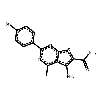 Cc1nc(-c2ccc(Br)cc2)nc2sc(C(N)=O)c(N)c12